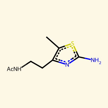 CC(=O)NCCc1nc(N)sc1C